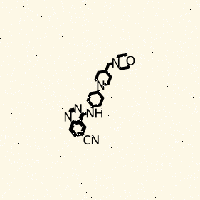 N#Cc1ccc2ncnc(NC3CCC(N4CCC(CN5CCOCC5)CC4)CC3)c2c1